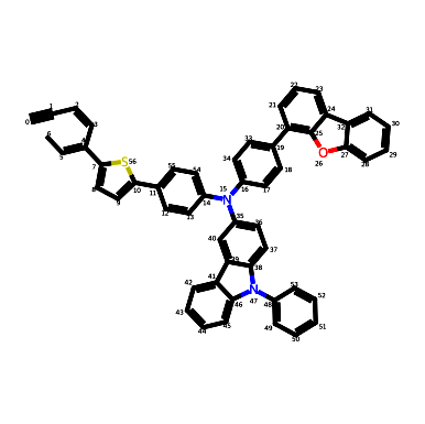 C#C/C=C\C(=C/C)c1ccc(-c2ccc(N(c3ccc(-c4cccc5c4oc4ccccc45)cc3)c3ccc4c(c3)c3ccccc3n4-c3ccccc3)cc2)s1